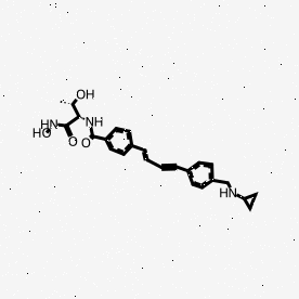 C[C@H](O)[C@H](NC(=O)c1ccc(/C=C/C#Cc2ccc(CNC3CC3)cc2)cc1)C(=O)NO